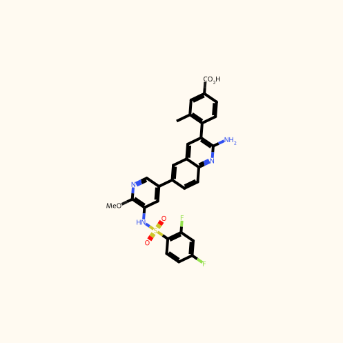 COc1ncc(-c2ccc3nc(N)c(-c4ccc(C(=O)O)cc4C)cc3c2)cc1NS(=O)(=O)c1ccc(F)cc1F